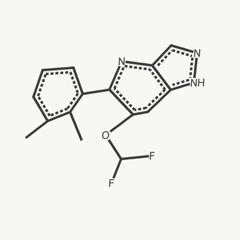 Cc1cccc(-c2nc3cn[nH]c3cc2OC(F)F)c1C